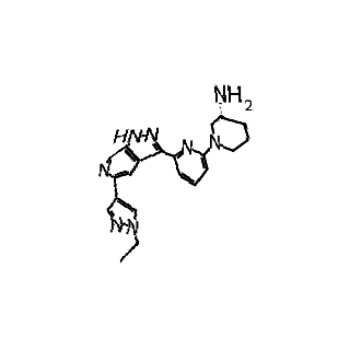 CCn1cc(-c2cc3c(-c4cccc(N5CCC[C@@H](N)C5)n4)n[nH]c3cn2)cn1